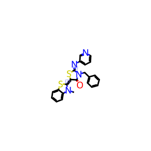 CN1/C(=C2/S/C(=N/c3cccnc3)N(Cc3ccccc3)C2=O)Sc2ccccc21